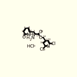 Cl.N[C@@H](Cc1cccc(=O)[nH]1)C(=O)OCc1cc(Cl)nc(Cl)c1